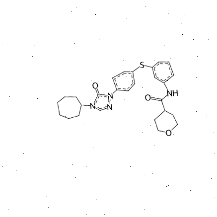 O=C(Nc1cccc(Sc2ccc(-n3ncn(C4CCCCCC4)c3=O)cc2)c1)C1CCOCC1